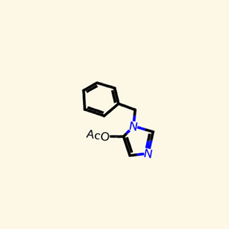 CC(=O)Oc1cncn1Cc1ccccc1